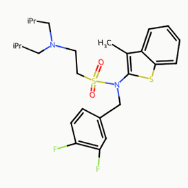 Cc1c(N(Cc2ccc(F)c(F)c2)S(=O)(=O)CCN(CC(C)C)CC(C)C)sc2ccccc12